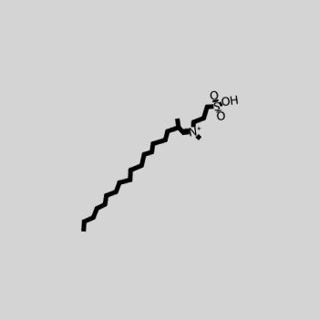 CCCCCCCCCCCCCCCCC(C)C=[N+](C)CCCS(=O)(=O)O